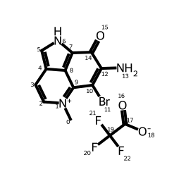 C[n+]1ccc2c[nH]c3c2c1C(Br)=C(N)C3=O.O=C([O-])C(F)(F)F